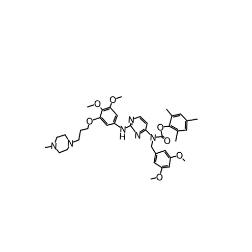 COc1cc(CN(C(=O)Oc2c(C)cc(C)cc2C)c2ccnc(Nc3cc(OC)c(OC)c(OCCCN4CCN(C)CC4)c3)n2)cc(OC)c1